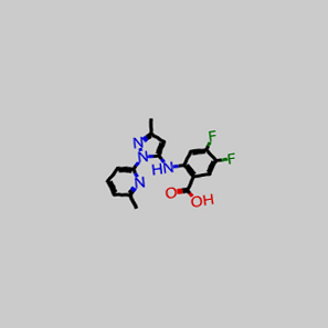 Cc1cccc(-n2nc(C)cc2Nc2cc(F)c(F)cc2C(=O)O)n1